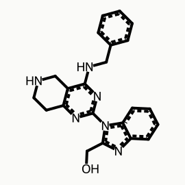 OCc1nc2ccccc2n1-c1nc2c(c(NCc3ccccc3)n1)CNCC2